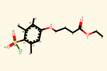 CCOC(=O)CCCOc1cc(C)c(S(=O)(=O)Cl)c(C)c1C